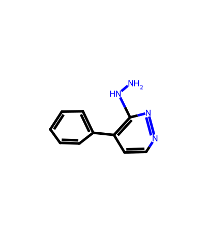 NNc1nnccc1-c1ccccc1